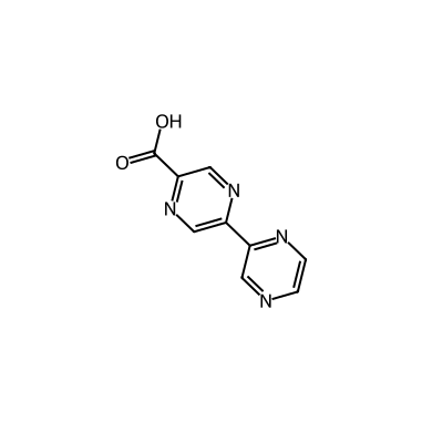 O=C(O)c1cnc(-c2cnccn2)cn1